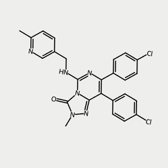 Cc1ccc(CNc2nc(-c3ccc(Cl)cc3)c(-c3ccc(Cl)cc3)c3nn(C)c(=O)n23)cn1